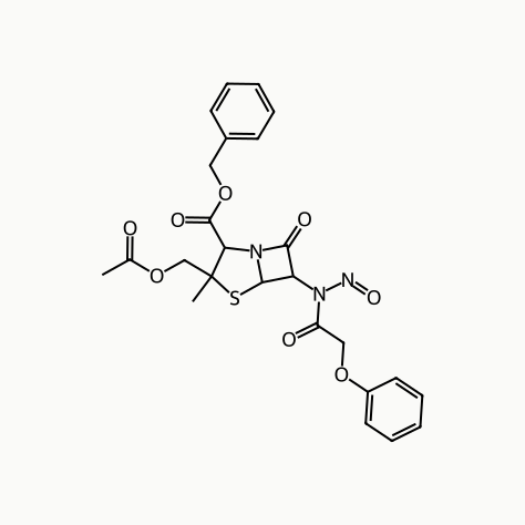 CC(=O)OCC1(C)SC2C(N(N=O)C(=O)COc3ccccc3)C(=O)N2C1C(=O)OCc1ccccc1